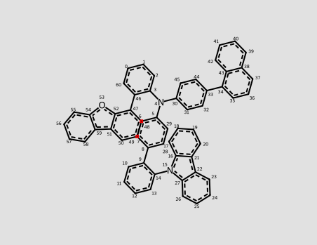 c1ccc(N(c2ccc(-c3ccccc3-n3c4ccccc4c4ccccc43)cc2)c2ccc(-c3cccc4ccccc34)cc2)c(-c2cccc3c2oc2ccccc23)c1